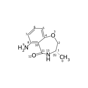 C[C@H]1COc2cccc(N)c2C(=O)N1